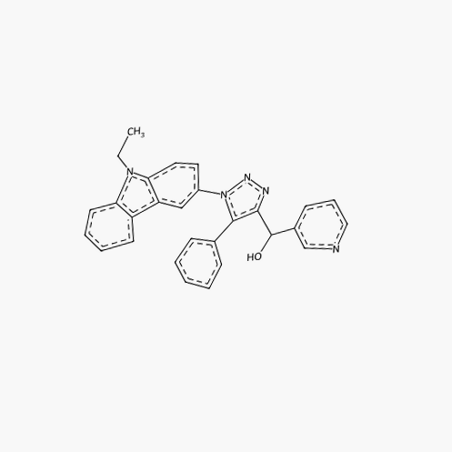 CCn1c2ccccc2c2cc(-n3nnc(C(O)c4cccnc4)c3-c3ccccc3)ccc21